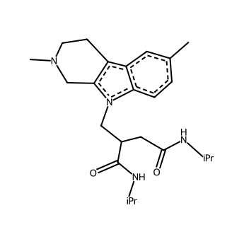 Cc1ccc2c(c1)c1c(n2CC(CC(=O)NC(C)C)C(=O)NC(C)C)CN(C)CC1